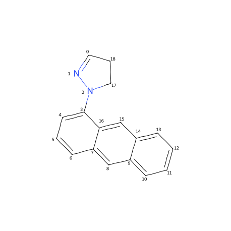 C1=NN(c2cccc3cc4ccccc4cc23)CC1